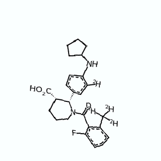 [2H]c1cc([C@H]2[C@@H](C(=O)O)CCCN2C(=O)c2c(F)cccc2C([2H])([2H])[2H])ccc1NC1CCCC1